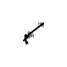 CCCN(CCc1cccs1)C1CCc2c(cccc2C(CNC(=O)CCCCCCCCCCCCCCCCC(=O)NCC)C(=O)O)C1